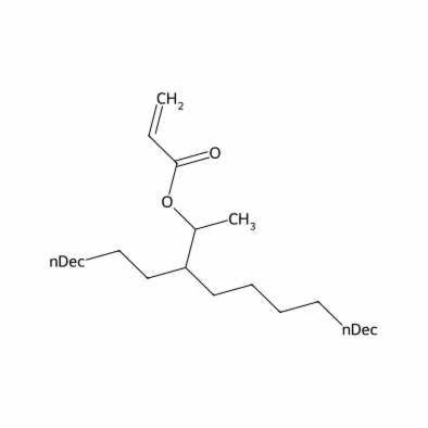 C=CC(=O)OC(C)C(CCCCCCCCCCCC)CCCCCCCCCCCCCC